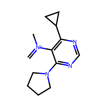 C=[N+](C)c1c(C2CC2)ncnc1N1CCCC1